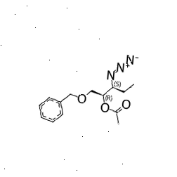 CC[C@H](N=[N+]=[N-])[C@H](COCc1ccccc1)OC(C)=O